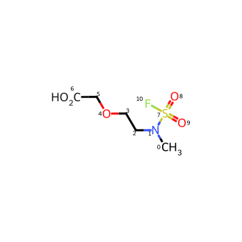 CN(CCOCC(=O)O)S(=O)(=O)F